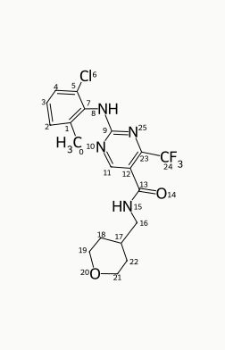 Cc1cccc(Cl)c1Nc1ncc(C(=O)NCC2CCOCC2)c(C(F)(F)F)n1